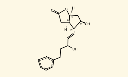 O=C1C[C@@H]2[C@@H](C=CC(O)CCc3ccccc3)[C@H](O)C[C@@H]2O1